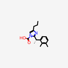 CCCc1cn(C(=O)O)c([C@@H](C)c2cccc(C)c2C)n1